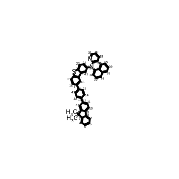 CC1(C)c2ccccc2-c2ccc(-c3ccc(-c4ccc5sc6ccc(N(c7ccccn7)c7cccc8ccccc78)cc6c5c4)cc3)cc21